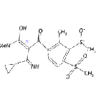 CN/C(O)=C(\C(=N)C1CC1)C(=O)c1ccc(S(C)(=O)=O)c([S+](C)[O-])c1C